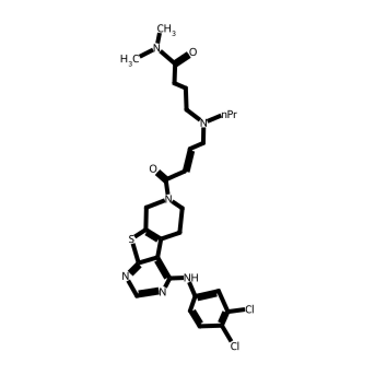 CCCN(C/C=C/C(=O)N1CCc2c(sc3ncnc(Nc4ccc(Cl)c(Cl)c4)c23)C1)CCCC(=O)N(C)C